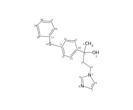 CC(O)(CCn1ccnc1)c1ccc(Sc2ccccc2)cc1